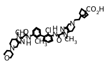 Cc1c(NC(=O)c2nc3c(n2C)CCN(C2CCOCC2)C3)cccc1-c1cccc(NC(=O)c2nc3c(n2C)CCN(CCC24CCC(C(=O)O)(CC2)C4)C3)c1Cl